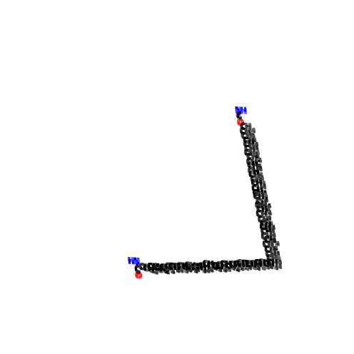 C.C.C.C.C.C.C.C.C.C.C.C.C.C.C.C.C.C.C.C.C.C.C.C.C.C.C.C.C.C.C.C.C.C.C.C.C.C.C.C.C.C.C.C.C.C.C.C.C.C.C.C.C.C.C.C.C.C.C.C.C.C.N=C=O.N=C=O